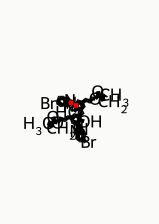 C=C(C)C(=O)OCCCc1cc(Cc2cc(CCCOC(=O)C(=C)C)cc(-n3nc4ccc(Br)cc4n3)c2O)c(O)c(-n2nc3ccc(Br)cc3n2)c1